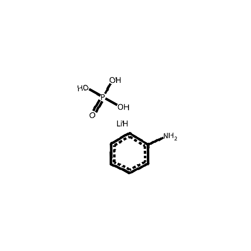 Nc1ccccc1.O=P(O)(O)O.[LiH]